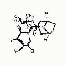 CC(C)(C)OC(=O)N1[C@@H]2CC[C@H]1CN(c1nc(Cl)nc3c(F)c(Br)c(Cl)cc13)C2